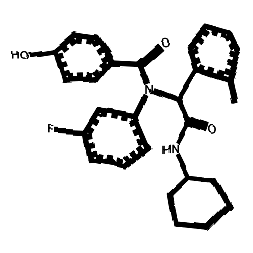 Cc1ccccc1C(C(=O)NC1CCCCC1)N(C(=O)c1ccc(O)cc1)c1cccc(F)c1